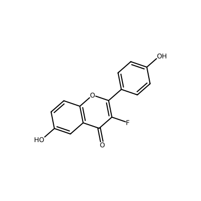 O=c1c(F)c(-c2ccc(O)cc2)oc2ccc(O)cc12